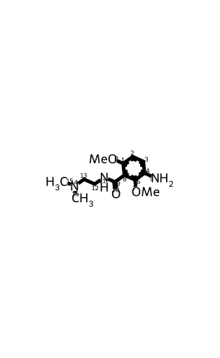 COc1ccc(N)c(OC)c1C(=O)NCCN(C)C